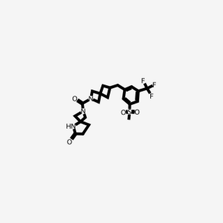 CS(=O)(=O)c1cc(CC2CC3(C2)CN(C(=O)N2CC4(CCC(=O)N4)C2)C3)cc(C(F)(F)F)c1